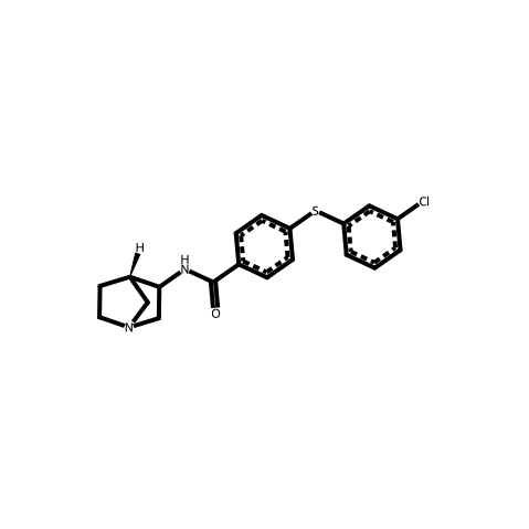 O=C(NC1CN2CC[C@H]1C2)c1ccc(Sc2cccc(Cl)c2)cc1